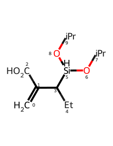 C=C(C(=O)O)C(CC)[SiH](OC(C)C)OC(C)C